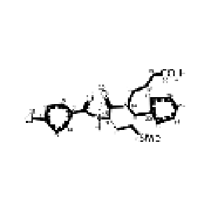 CSCC[C@H](NC(=O)c1ccc(Cl)cc1)C(=O)N(CCCC(=O)O)Cc1ccccc1